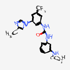 Cc1cn(-c2cc(NC(=O)Nc3cccc(NC(=O)O)c3)cc(C(F)(F)F)c2)cn1